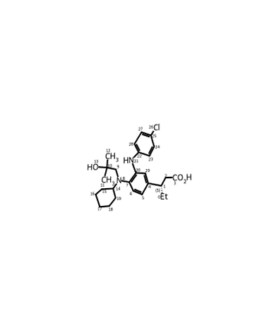 CC[C@@H](CC(=O)O)c1ccc(N(CC(C)(C)O)C2CCCCC2)c(Nc2ccc(Cl)cc2)c1